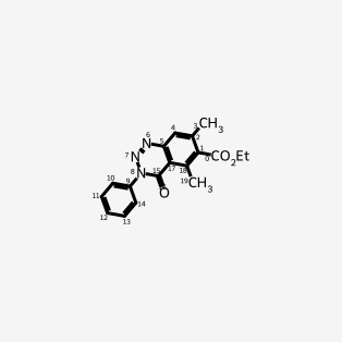 CCOC(=O)c1c(C)cc2nnn(-c3ccccc3)c(=O)c2c1C